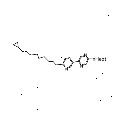 CCCCCCCc1cnc(-c2ccc(CCCCCCCCCC3CC3)nc2)cn1